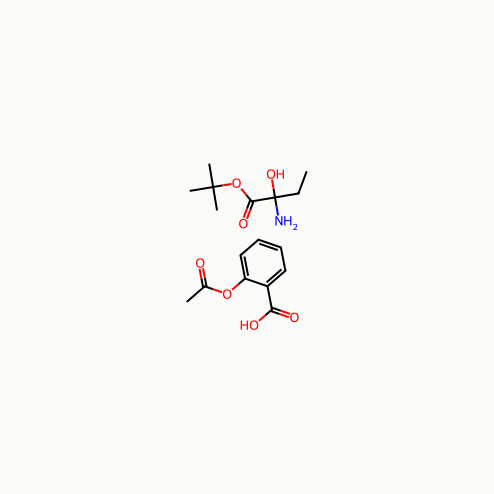 CC(=O)Oc1ccccc1C(=O)O.CCC(N)(O)C(=O)OC(C)(C)C